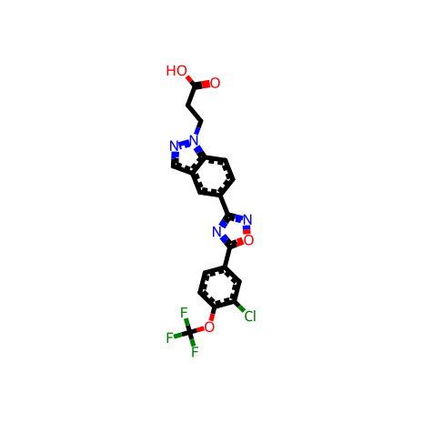 O=C(O)CCn1ncc2cc(-c3noc(-c4ccc(OC(F)(F)F)c(Cl)c4)n3)ccc21